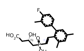 Cc1cc(C)c(/C=C/P(=O)(O)C[C@@H](O)CC(=O)O)c(-c2ccc(F)c(C)c2)c1